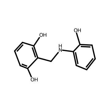 Oc1ccccc1NCc1c(O)cccc1O